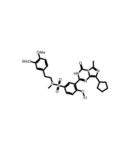 CCOc1ccc(S(=O)(=O)N(C)CCc2ccc(OC)c(OC)c2)cc1-c1nc2c(C3CCCC3)nc(C)n2c(=O)[nH]1